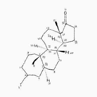 C[C@]12CCC(I)C[C@@H]1CC[C@@H]1[C@@H]2CC[C@]2(C)C(=O)CC[C@@H]12